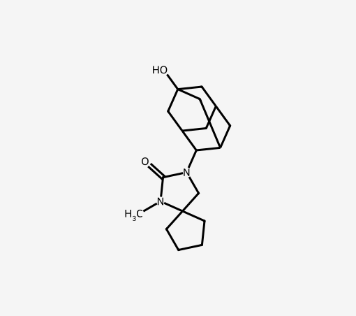 CN1C(=O)N(C2C3CC4CC2CC(O)(C4)C3)CC12CCCC2